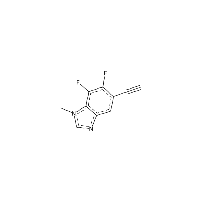 C#Cc1cc2ncn(C)c2c(F)c1F